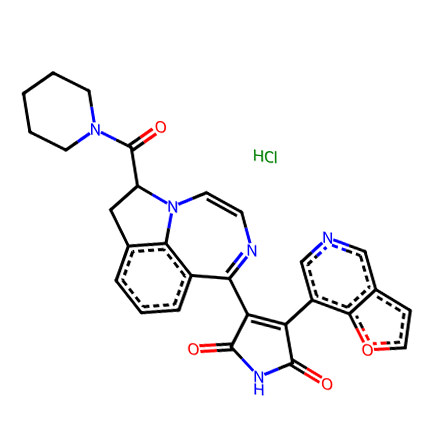 Cl.O=C1NC(=O)C(c2cncc3ccoc23)=C1C1=NC=CN2c3c(cccc31)CC2C(=O)N1CCCCC1